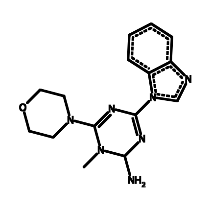 CN1C(N2CCOCC2)=NC(n2cnc3ccccc32)=NC1N